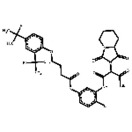 CCC(C)(C)c1ccc(OCCCC(=O)Nc2ccc(Cl)c(NC(=O)C(C(=O)C(C)(C)C)N3C(=O)C4CCCCN4C3=O)c2)c(C(C)(C)CC)c1